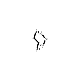 CCCCOC(C)CC.OCCO